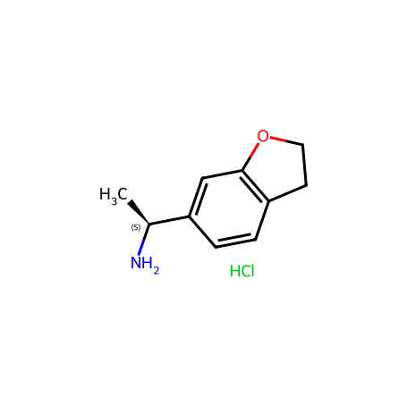 C[C@H](N)c1ccc2c(c1)OCC2.Cl